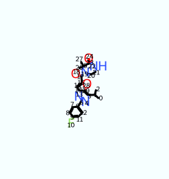 CC(C)c1nc(-c2ccc(F)cc2)nc2cc(C(=O)N3CCNC(=O)C3(C)C)oc12